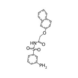 O=C(COc1ccc2ccccc2c1)NS(=O)(=O)c1cccc(P)c1